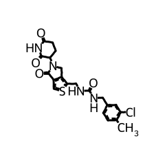 Cc1ccc(CNC(=O)NCc2scc3c2CN(C2CCC(=O)NC2=O)C3=O)cc1Cl